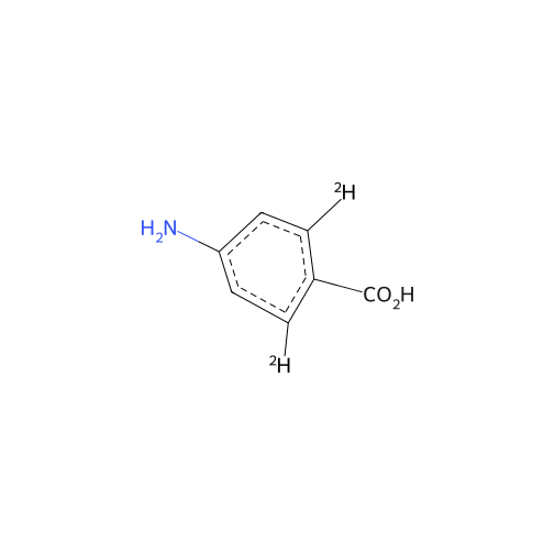 [2H]c1cc(N)cc([2H])c1C(=O)O